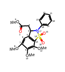 COC(=O)CC1c2cc(OC)c(OC)c(OC)c2S(=O)(=O)N1c1ccccc1